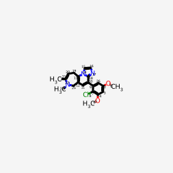 COc1cc(OC)c(Cl)c(-c2cc3c(n4ccnc24)CC=C(C)N(C)C3)c1